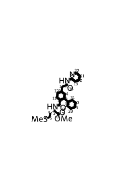 COC(=O)[C@H](CCSC)NC(=O)c1ccc(CC(=O)Nc2ccccn2)cc1-c1ccccc1